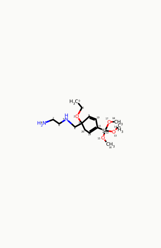 CCOC1(CNCCN)C=CC([Si](OC)(OC)OC)=CC1